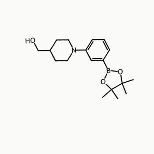 CC1(C)OB(c2cccc(N3CCC(CO)CC3)c2)OC1(C)C